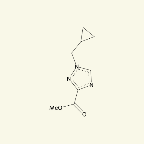 COC(=O)c1ncn(CC2CC2)n1